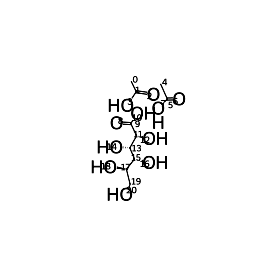 CC(=O)O.CC(=O)O.O=C(O)[C@H](O)[C@@H](O)[C@H](O)[C@H](O)CO